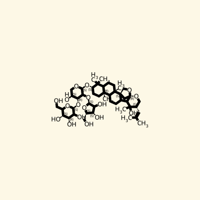 CC(C)=C[C@H]1CO[C@]23C[C@]4(CO2)C(CCC2[C@@]5(C)CC[C@H](O[C@@H]6OC[C@H](O)[C@@H](O[C@@H]7OC(CO)[C@@H](O)[C@@H](O)C7O)C6O[C@@H]6O[C@@H](CO)[C@@H](O)C6O)C(C)(C)C5CC[C@]24C)C3C1(C)O